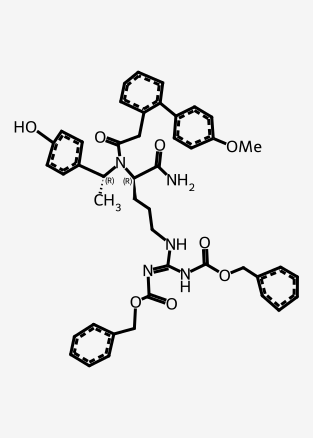 COc1ccc(-c2ccccc2CC(=O)N([C@H](CCCNC(=NC(=O)OCc2ccccc2)NC(=O)OCc2ccccc2)C(N)=O)[C@H](C)c2ccc(O)cc2)cc1